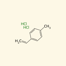 C=Cc1ccc(C)cc1.Cl.Cl